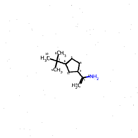 C=C(N)C1CCC(C(C)(C)C)C1